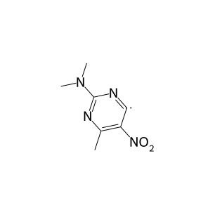 Cc1nc(N(C)C)n[c]c1[N+](=O)[O-]